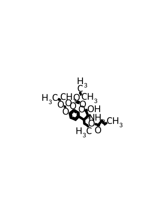 CCCC(=O)OC(C)CC(c1ccc(OC(=O)OC(C)C)c(OC(=O)OC(C)C)c1)[C@H](N)C(=O)O